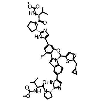 COC(=O)N[C@H](C(=O)N1CCC[C@H]1c1ncc(-c2cc(F)c3c(c2)OC(c2cnc(CC4CC4)s2)n2c-3cc3cc(-c4cnc([C@@H]5CCCN5C(=O)[C@@H](NC(=O)OC)C(C)C)[nH]4)ccc32)[nH]1)C(C)C